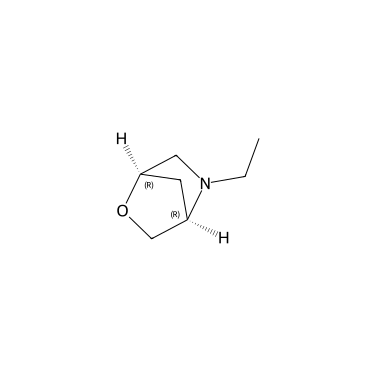 CCN1C[C@H]2C[C@@H]1CO2